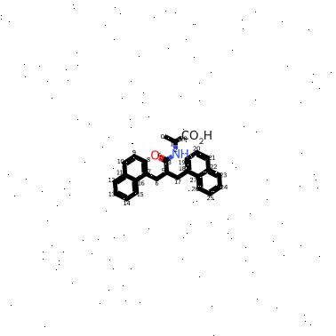 CC(NC(=O)C(Cc1cccc2ccccc12)Cc1cccc2ccccc12)C(=O)O